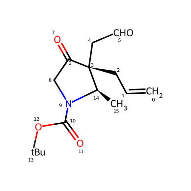 C=CC[C@]1(CC=O)C(=O)CN(C(=O)OC(C)(C)C)[C@@H]1C